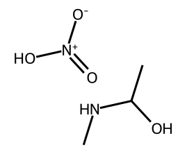 CNC(C)O.O=[N+]([O-])O